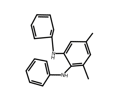 Cc1cc(C)c(Nc2ccccc2)c(Nc2ccccc2)c1